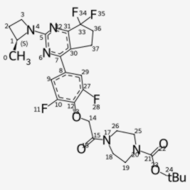 C[C@H]1CCN1c1nc(-c2cc(F)c(OCC(=O)N3CCN(C(=O)OC(C)(C)C)CC3)c(F)c2)c2c(n1)C(F)(F)CC2